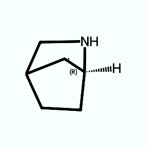 [CH]1C2CC[C@@H]1NC2